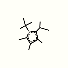 Cc1c(C)c(C(C)C)n(C(C)(C)C)c1C